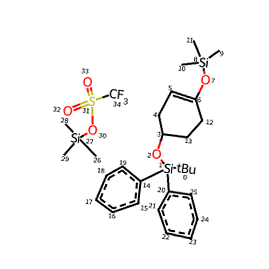 CC(C)(C)[Si](OC1CC=C(O[Si](C)(C)C)CC1)(c1ccccc1)c1ccccc1.C[Si](C)(C)OS(=O)(=O)C(F)(F)F